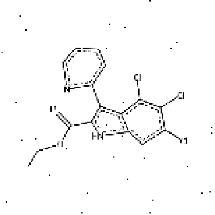 CCOC(=O)c1[nH]c2cc(Cl)c(Cl)c(Cl)c2c1-c1ccccn1